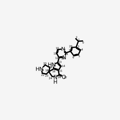 CC(C)c1cccc(-c2nccc(-c3cc4c([nH]3)C3(CCNCC3)CNC4=O)n2)c1